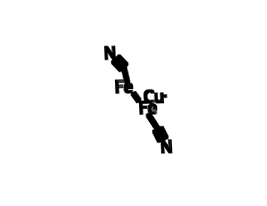 N#[C][Fe][Fe][C]#N.[Cu]